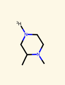 [2H]N1CCN(C)C(C)C1